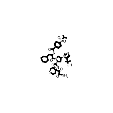 CC(C)S(=O)(=O)c1ccc(C(=O)/N=C(\CC2CCCCC2)C(=O)N2C[C@@H](n3nncc3C(C)(C)O)C[C@H]2C(=O)NC2(C(=O)C(N)=O)CCSCC2)cc1